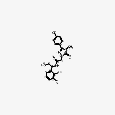 Cn1c(-c2ccc(Cl)cc2)nn(CC(=O)NC(CO)c2cccc(Cl)c2F)c1=O